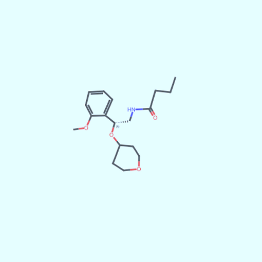 CCCC(=O)NC[C@H](OC1CCOCC1)c1ccccc1OC